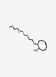 COCCOCCOCCOC1CCC=CCCC1O